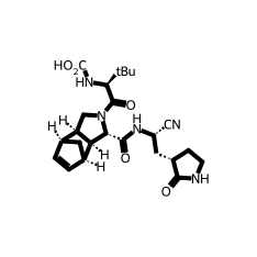 CC(C)(C)[C@H](NC(=O)O)C(=O)N1C[C@H]2[C@@H]([C@H]1C(=O)N[C@H](C#N)C[C@@H]1CCNC1=O)[C@H]1C=C[C@@H]2C1